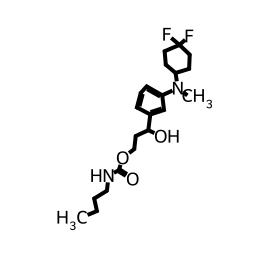 CCCCNC(=O)OCCC(O)c1cccc(N(C)C2CCC(F)(F)CC2)c1